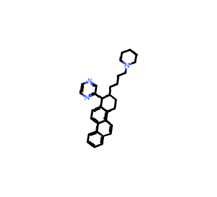 c1ccc2c(c1)ccc1c3c(ccc12)C(c1cnccn1)C(CCCCN1CCCCC1)CC3